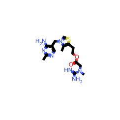 Cc1ncc(C[n+]2csc(CCOC(=O)CN(C)C(=N)N)c2C)c(N)n1